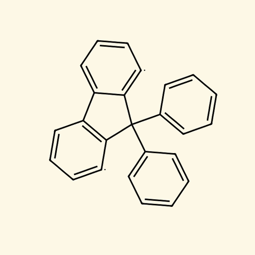 [c]1cccc2c1C(c1ccccc1)(c1ccccc1)c1[c]cccc1-2